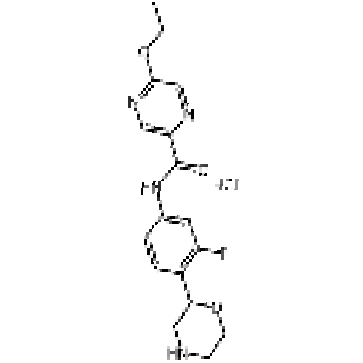 CCOc1cnc(C(=O)Nc2ccc(C3CNCCO3)c(F)c2)cn1.Cl